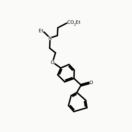 CCOC(=O)CCN(CC)CCOc1ccc(C(=O)c2ccccc2)cc1